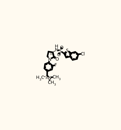 C[C@H](c1ccc(N2CC[C@H](NS(=O)(=O)c3cc4ccc(Cl)cc4s3)C2=O)c(F)c1)N(C)C